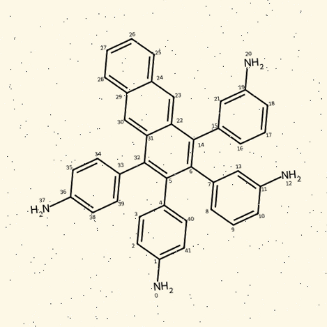 Nc1ccc(-c2c(-c3cccc(N)c3)c(-c3cccc(N)c3)c3cc4ccccc4cc3c2-c2ccc(N)cc2)cc1